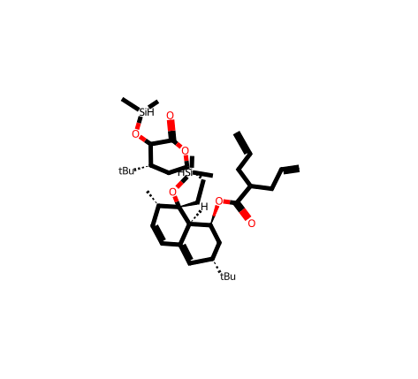 C=CCC(CC=C)C(=O)O[C@H]1C[C@H](C(C)(C)C)C=C2C=C[C@H](C)[C@](CC[C@@H]3C[C@H](C(C)(C)C)C(O[SiH](C)C)C(=O)O3)(O[SiH](C)C)[C@H]21